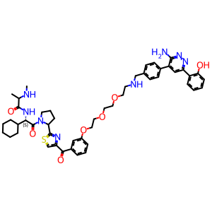 CNC(C)C(=O)N[C@H](C(=O)N1CCCC1c1nc(C(=O)c2cccc(OCCOCCOCCNCc3ccc(-c4cc(-c5ccccc5O)nnc4N)cc3)c2)cs1)C1CCCCC1